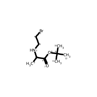 CC(NCCBr)C(=O)OC(C)(C)C